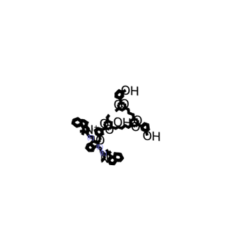 CCC1CC(CC(O)CCCC2CC(CCCC3CC(C)OC(c4cccc(O)c4)O3)OC(c3cccc(O)c3)O2)OC(c2cccc(OC3=C(/C=C/C4=[N+](C)c5ccc6ccccc6c5C4(C)C)c4ccccc4/C3=C\C=C3\N(C)c4ccc5ccccc5c4C3(C)C)c2)O1